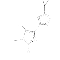 CCn1nc(-c2cc(C3CC3)on2)c(C=O)c1Cl